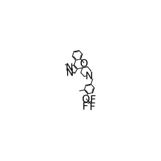 Cc1cc(CN2CCC3(CC2)Oc2ccccc2-c2c3cnn2C)ccc1OC(F)(F)F